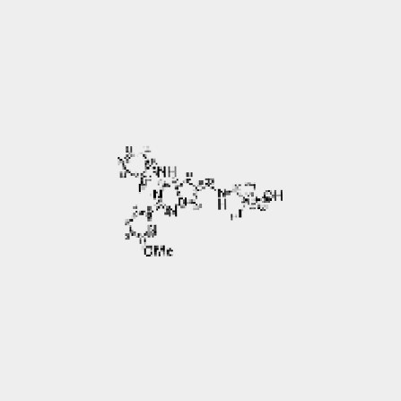 COc1cccc(-c2nc(Nc3ccncc3F)c3cc(CNC[C@@H](I)C(C)(C)O)cn3n2)n1